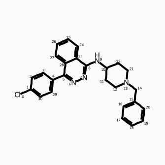 Clc1ccc(-c2nnc(NC3CCN(Cc4ccccc4)CC3)c3ccccc23)cc1